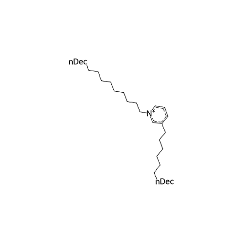 CCCCCCCCCCCCCCCCCCC[n+]1cccc(CCCCCCCCCCCCCCCC)c1